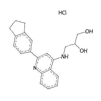 Cl.OCC(O)CNc1cc(-c2ccc3c(c2)CCC3)nc2ccccc12